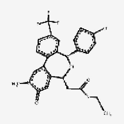 CCNC(=O)C[C@@H]1O[C@H](c2ccc(Cl)cc2)c2cc(C(F)(F)F)ccc2-c2cn(C)c(=O)cc21